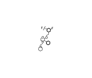 Fc1cc(CCOC2OCCN(CCN3CCCCC3)C2c2ccccc2)cc(C(F)(F)F)c1